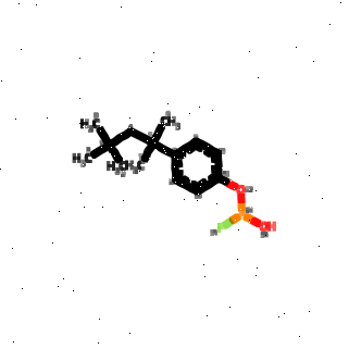 CC(C)(C)CC(C)(C)c1ccc(OP(O)F)cc1